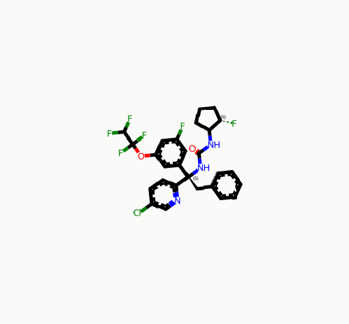 O=C(NC1CCC[C@@H]1F)N[C@@](Cc1ccccc1)(c1cc(F)cc(OC(F)(F)C(F)F)c1)c1ccc(Cl)cn1